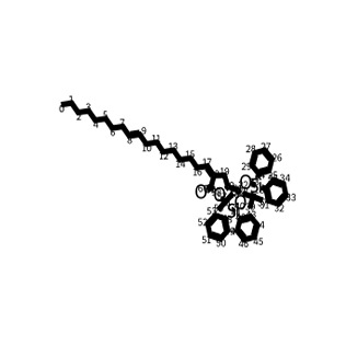 CCCCCCCCC=CCCCCCCCC=C1CC(C(O[Si](c2ccccc2)(c2ccccc2)C(C)(C)C)O[Si](c2ccccc2)(c2ccccc2)C(C)(C)C)OC1=O